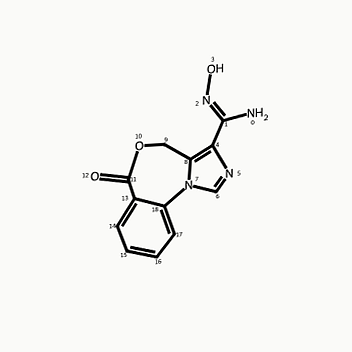 NC(=NO)c1ncn2c1COC(=O)c1ccccc1-2